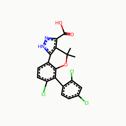 CC1(C)Oc2c(ccc(Cl)c2-c2ccc(Cl)cc2Cl)-c2[nH]nc(C(=O)O)c21